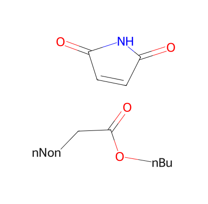 CCCCCCCCCCC(=O)OCCCC.O=C1C=CC(=O)N1